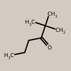 [CH2]C(C)(C)C(=O)CCC